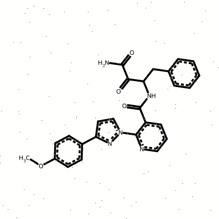 COc1ccc(-c2ccn(-c3ncccc3C(=O)NC(Cc3ccccc3)C(=O)C(N)=O)n2)cc1